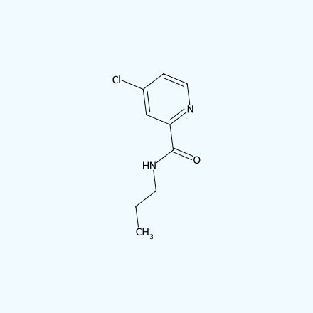 CCCNC(=O)c1cc(Cl)ccn1